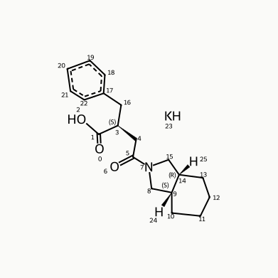 O=C(O)[C@H](CC(=O)N1C[C@H]2CCCC[C@H]2C1)Cc1ccccc1.[KH]